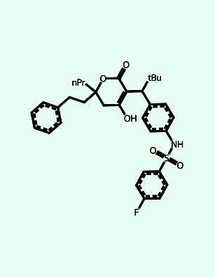 CCCC1(CCc2ccccc2)CC(O)=C(C(c2ccc(NS(=O)(=O)c3ccc(F)cc3)cc2)C(C)(C)C)C(=O)O1